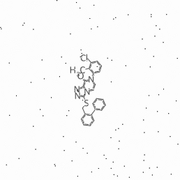 Cc1c(Cl)cccc1-n1ccn2c(SCc3ccccc3-c3ccccc3)nnc2c1=O